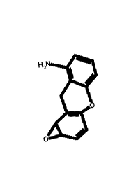 Nc1cccc2c1CC1=C(C=CC3OC13)O2